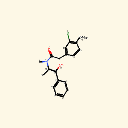 CSc1ccc(CC(=O)N(C)C(C)C(O)c2ccccc2)cc1Cl